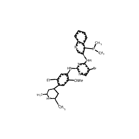 CCc1cc(Nc2ncc(Br)c(Nc3cnc4ccccc4c3P(C)C)n2)c(OC)cc1C1CC(C)NC(C)C1